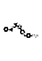 O=C(O)c1ccc(CN2CCC(c3nc(C4(CN[C@@H]5C[C@H]5c5ccccc5)CC4)no3)CC2)cc1